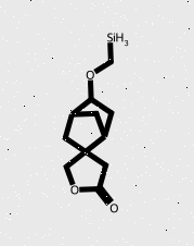 O=C1CC2(CO1)CC1CC2CC1OC[SiH3]